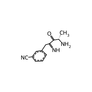 C[C@H](N)C(=O)C(=N)Cc1cccc(C#N)c1